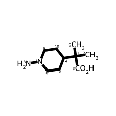 CC(C)(C(=O)O)C1CCN(N)CC1